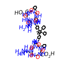 C[Si]1(C)C(c2ccc(Cn3cc(C[C@@H]4NC(=O)[C@@H](Cc5ccccc5)NC(=O)[C@H](CC(=O)O)NC(=O)CNC(=O)[C@H](CCCNC(=N)N)NC4=O)nn3)cc2)=C(c2ccccc2)C(c2ccccc2)=C1c1ccc(Cn2cc(C[C@@H]3NC(=O)[C@@H](Cc4ccccc4)NC(=O)[C@H](CC(=O)O)NC(=O)CNC(=O)[C@H](CCCNC(=N)N)NC3=O)nn2)cc1